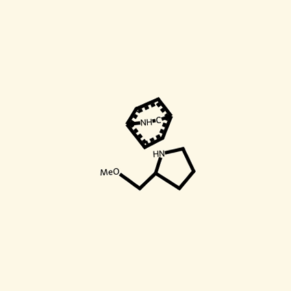 COCC1CCCN1.c1cc2ccc1CN2